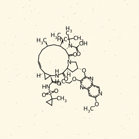 CCOc1nc2cc(OC)ncc2nc1O[C@@H]1C[C@H]2C(=O)N[C@]3(C(=O)NS(=O)(=O)C4(C)CC4)C[C@H]3C=CCC[C@@H](C)C[C@@H](CC)[C@H](N(C(=O)O)C(C)(C)C)C(=O)N2C1